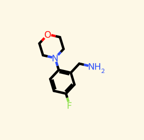 NCc1cc(F)ccc1N1CCOCC1